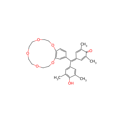 CC1=CC(=C(c2cc(C)c(O)c(C)c2)c2ccc3c(c2)OCCOCCOCCOCCO3)C=C(C)C1=O